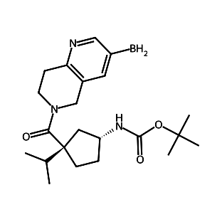 Bc1cnc2c(c1)CN(C(=O)[C@@]1(C(C)C)CC[C@@H](NC(=O)OC(C)(C)C)C1)CC2